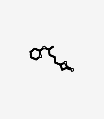 CC(CCCC1CC(=O)O1)OC1CCCCO1